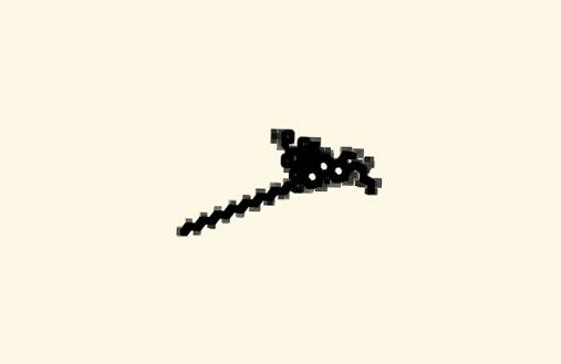 CCCCCCCCCCCCCCCCOC1(OC2C[C@H](O)[C@@H](CO)O2)CC[C@]2(C)C3CC[C@@]4(C)C(CC[C@@H]4[C@H](C)CCC)C3CCC2(P(=O)(O)O)C1